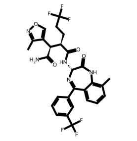 Cc1cccc2c1NC(=O)[C@@H](NC(=O)[C@H](CCC(F)(F)F)[C@@H](C(N)=O)c1conc1C)N=C2c1cccc(C(F)(F)F)c1